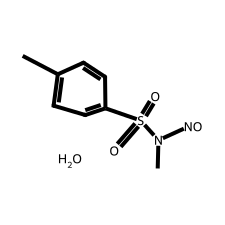 Cc1ccc(S(=O)(=O)N(C)N=O)cc1.O